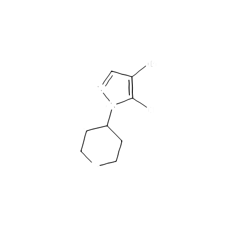 CC(C)(C)c1cnn(C2CCOCC2)c1Cl